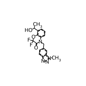 CC(O)c1cccc2c1OC(F)(F)C(=O)N2Cc1ccc2nnn(C)c2c1